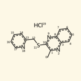 Cc1nc2ccccc2nc1SCc1ccccn1.Cl